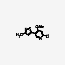 COc1cc(Cl)ncc1-c1cc(C)ns1